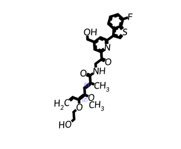 C=C/C(OCCO)=C(\C=C(/C)C(=O)NCC(=O)c1cc(CO)cc(-c2csc3c(F)cccc23)n1)OC